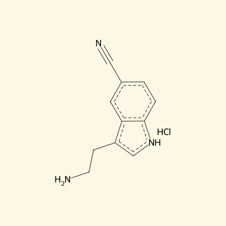 Cl.N#Cc1ccc2[nH]cc(CCN)c2c1